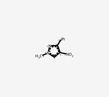 CC(C)c1nn(C)cc1[N+](=O)[O-]